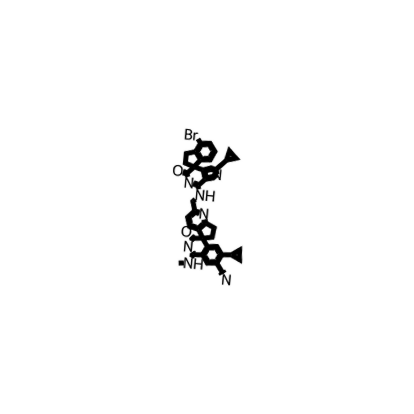 CNC1=NC(=O)C2(CCc3nc(CNC4=NC(=O)C5(CCc6c(Br)cccc65)c5cc(C6CC6)ncc54)ccc32)c2cc(C3CC3)c(C#N)cc21